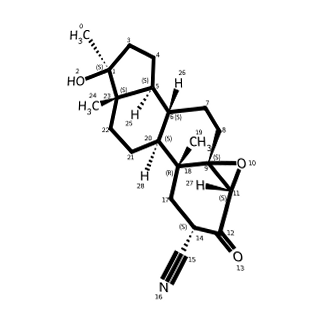 C[C@]1(O)CC[C@H]2[C@@H]3CC[C@@]45O[C@@H]4C(=O)[C@H](C#N)C[C@]5(C)[C@H]3CC[C@@]21C